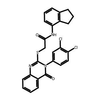 O=C(CSc1nc2ccccc2c(=O)n1-c1ccc(Cl)c(Cl)c1)Nc1cccc2c1CCC2